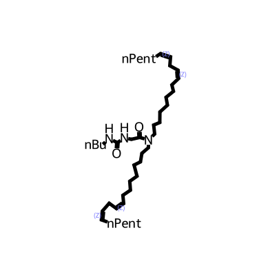 CCCCC/C=C\C/C=C\CCCCCCCCN(CCCCCCCC/C=C\C/C=C\CCCCC)C(=O)CNC(=O)NCCCC